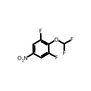 O=[N+]([O-])c1cc(F)c(OC(F)F)c(F)c1